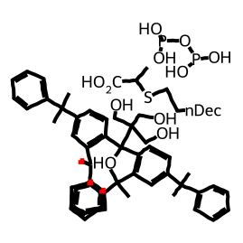 CC(C)(c1ccccc1)c1ccc(C(O)(c2ccc(C(C)(C)c3ccccc3)cc2C(C)(C)c2ccccc2)C(CO)(CO)CO)c(C(C)(C)c2ccccc2)c1.CCCCCCCCCCCCSC(C)C(=O)O.OP(O)OP(O)O